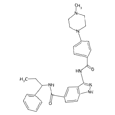 CCC(NC(=O)c1ccc2[nH]nc(NC(=O)c3ccc(N4CCN(C)CC4)cc3)c2c1)c1ccccc1